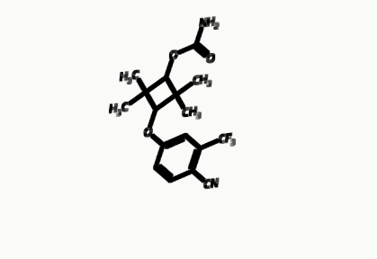 CC1(C)C(OC(N)=O)C(C)(C)C1Oc1ccc(C#N)c(C(F)(F)F)c1